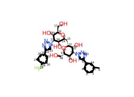 Cc1cccc(-c2cn([C@H]3[C@@H](O)[C@@H](C[C@@H]4O[C@H](CO)[C@H](O)[C@H](n5cc(-c6ccc([18F])cc6)nn5)[C@@H]4O)O[C@@H](CO)[C@H]3O)nn2)c1